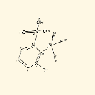 [CH2]c1cccc(S(=O)(=O)O)c1C(F)(F)F